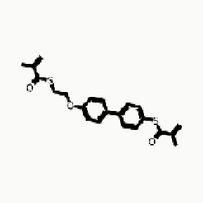 C=C(C)C(=O)SCCOc1ccc(-c2ccc(SC(=O)C(=C)C)cc2)cc1